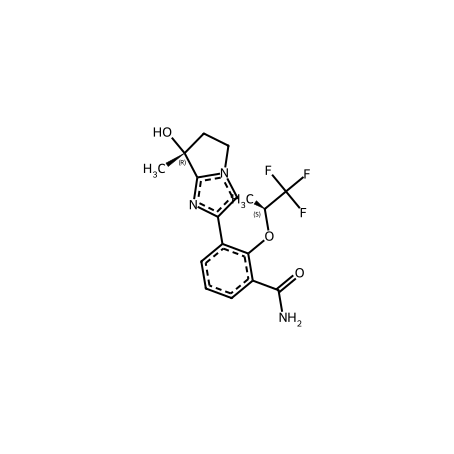 C[C@H](Oc1c(C(N)=O)cccc1-c1cn2c(n1)[C@](C)(O)CC2)C(F)(F)F